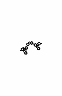 CC1CCC2(C)c3cc(-c4ccc5c(c4)-c4cc(-c6ccc7c(c6)C6(C)CCC(C)CC6(C)N7c6ccccc6)ccc4C5)ccc3N(c3ccccc3)C2(C)C1